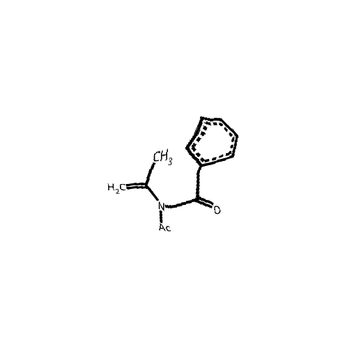 C=C(C)N(C(C)=O)C(=O)c1ccccc1